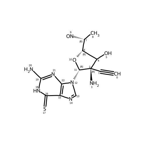 C#C[C@@]1(N)C(O)[C@@H]([C@@H](C)N=O)O[C@H]1n1cnc2c(=S)[nH]c(N)nc21